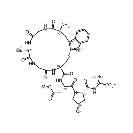 CC[C@H](C)[C@H](NC(=O)[C@@H]1C[C@@H](O)CN1C(=O)[C@H](CC(=O)OC)NC(=O)[C@@H]1CSc2[nH]c3ccccc3c2C[C@H](N)C(=O)NCC(=O)N[C@@H]([C@@H](C)CC)C(=O)NCC(=O)N1)C(=O)O